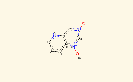 [O-][n+]1cc2ncccc2[n+]([O-])c1